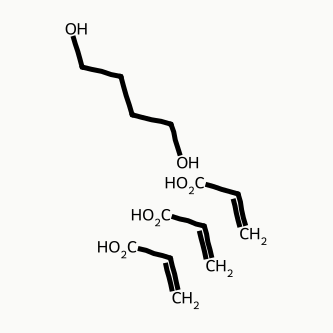 C=CC(=O)O.C=CC(=O)O.C=CC(=O)O.OCCCCO